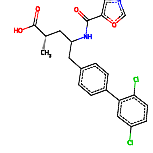 C[C@@H](CC(Cc1ccc(-c2cc(Cl)ccc2Cl)cc1)NC(=O)c1cnco1)C(=O)O